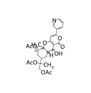 CC(=O)OCC(C)(OC(C)=O)C1C[C@H](OC(C)=O)[C@@]2(C)Oc3cc(-c4cccnc4)oc(=O)c3[C@H](O)[C@@H]2C1